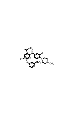 CCc1nc(C(N)=O)c(Nc2ccc(N3CCN(C)CC3)c(F)c2)nc1Oc1cccc([N+](=O)[O-])c1